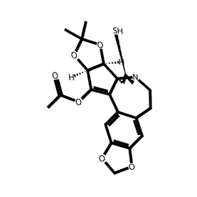 CC(=O)OC1=C2c3cc4c(cc3CCN3C[C@H](S)C[C@@]23[C@@H]2OC(C)(C)O[C@H]12)OCO4